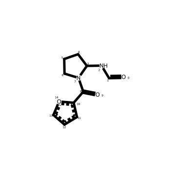 O=CNC1CCCN1C(=O)c1ccco1